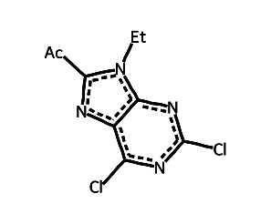 CCn1c(C(C)=O)nc2c(Cl)nc(Cl)nc21